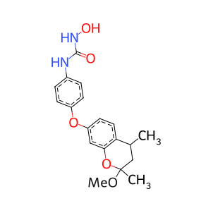 COC1(C)CC(C)c2ccc(Oc3ccc(NC(=O)NO)cc3)cc2O1